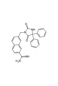 N=C(N)c1ccc2ccc(CN3C(=O)NC(c4ccccc4)(c4ccccc4)C3=O)cc2c1